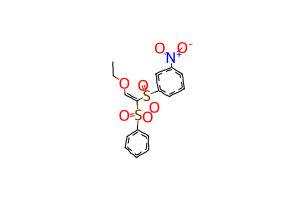 CCOC=C(S(=O)(=O)c1ccccc1)S(=O)(=O)c1cccc([N+](=O)[O-])c1